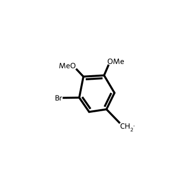 [CH2]c1cc(Br)c(OC)c(OC)c1